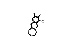 Cc1cc2c(c(Cl)c1C)CN1CCCCCC1=N2